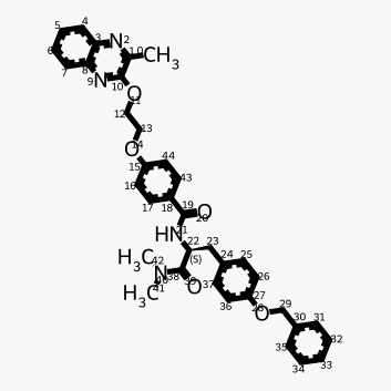 Cc1nc2ccccc2nc1OCCOc1ccc(C(=O)N[C@@H](Cc2ccc(OCc3ccccc3)cc2)C(=O)N(C)C)cc1